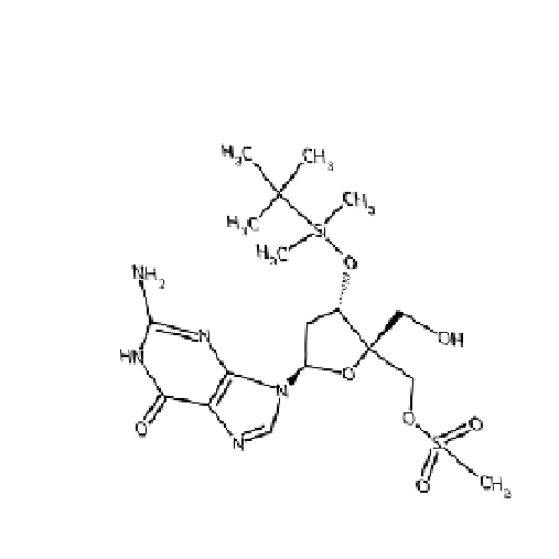 CC(C)(C)[Si](C)(C)O[C@H]1C[C@H](n2cnc3c(=O)[nH]c(N)nc32)O[C@@]1(CO)COS(C)(=O)=O